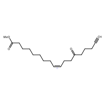 C#CCCCC(=O)CC/C=C\CCCCCCCC(=O)OC